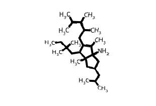 CCC(C)(C)CC1C(CC(C)C(C)C(C)C)C(C)C2(N)CC(CC(C)C)CC12C